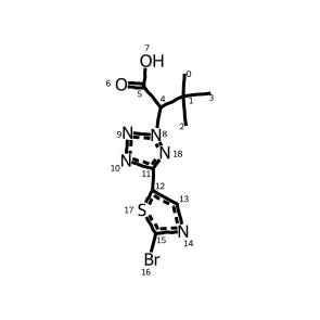 CC(C)(C)C(C(=O)O)n1nnc(-c2cnc(Br)s2)n1